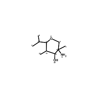 CC(C)C1OCC(C)(N)C(O)C1C